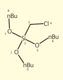 CCCCO[Si](CCl)(OCCCC)OCCCC